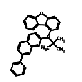 CC(C)(C)N(c1ccc2ccc(-c3ccccc3)cc2c1)c1cccc2oc3ccccc3c12